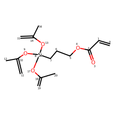 C=CC(=O)OCCC[Si](OC(=C)C)(OC(=C)C)OC(=C)C